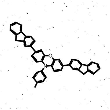 Cc1ccc(N2c3ccc(-c4ccc5c(c4)Cc4ccccc4-5)cc3Oc3cc(-c4ccc5c(c4)Cc4ccccc4-5)ccc32)cc1